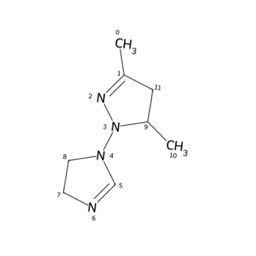 CC1=NN(N2C=NCC2)C(C)C1